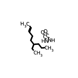 CC=CCCC(CC)CCC.N=C=O.N=C=O